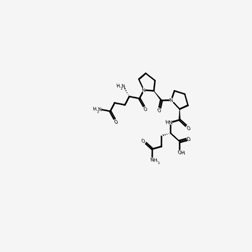 NC(=O)CC[C@H](NC(=O)[C@@H]1CCCN1C(=O)[C@@H]1CCCN1C(=O)[C@@H](N)CCC(N)=O)C(=O)O